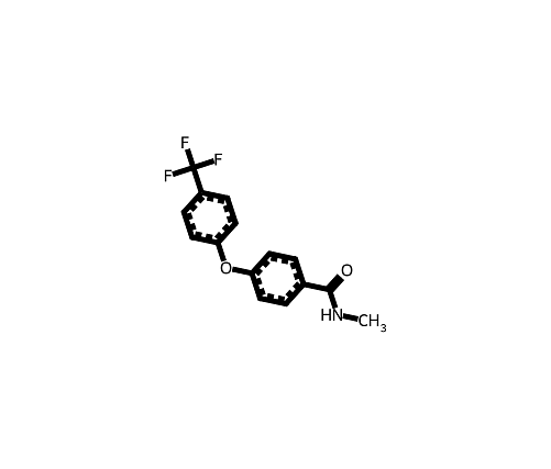 CNC(=O)c1ccc(Oc2ccc(C(F)(F)F)cc2)cc1